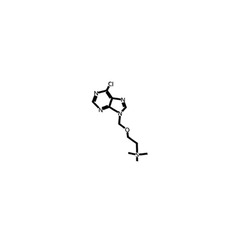 CS(C)(C)CCOCn1cnc2c(Cl)ncnc21